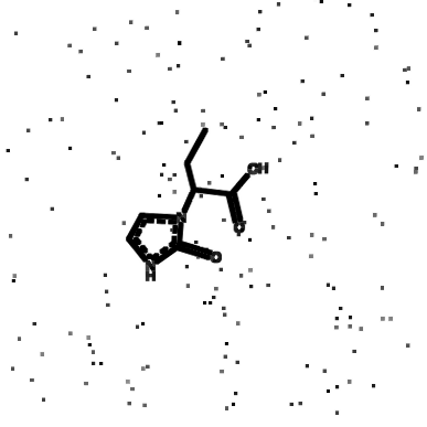 CCC(C(=O)O)n1cc[nH]c1=O